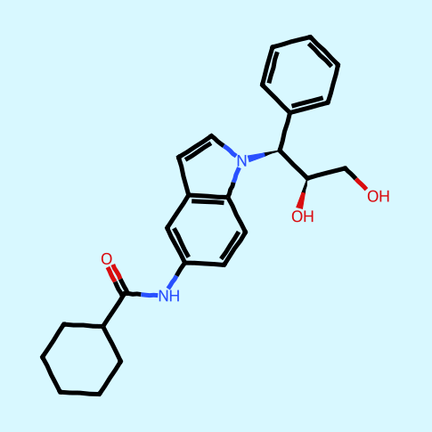 O=C(Nc1ccc2c(ccn2[C@@H](c2ccccc2)[C@H](O)CO)c1)C1CCCCC1